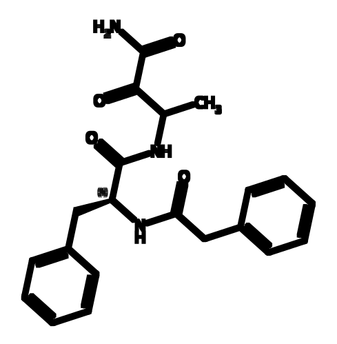 CC(NC(=O)[C@H](Cc1ccccc1)NC(=O)Cc1ccccc1)C(=O)C(N)=O